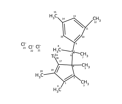 CC1=C(C)C(C)([Si](C)(C)c2cc(C)cc(C)c2)[C]([Ti+3])=C1C.[Cl-].[Cl-].[Cl-]